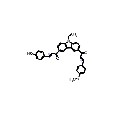 CCn1c2ccc(C(=O)/C=C/c3ccc(S)cc3)cc2c2cc(C(=O)/C=C/c3ccc(SC)cc3)ccc21